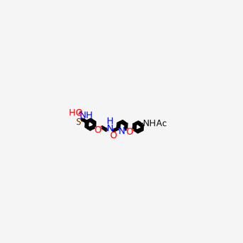 CC(=O)Nc1ccc(Oc2cccc(C(=O)NCCOc3ccc(C(=S)NO)cc3)n2)cc1